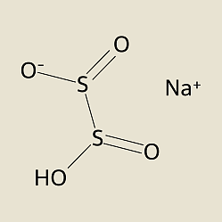 O=S([O-])S(=O)O.[Na+]